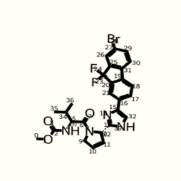 COC(=O)N[C@H](C(=O)N1CC=C[C@H]1c1nc(-c2ccc3c(c2)C(F)(F)c2cc(Br)ccc2-3)c[nH]1)C(C)C